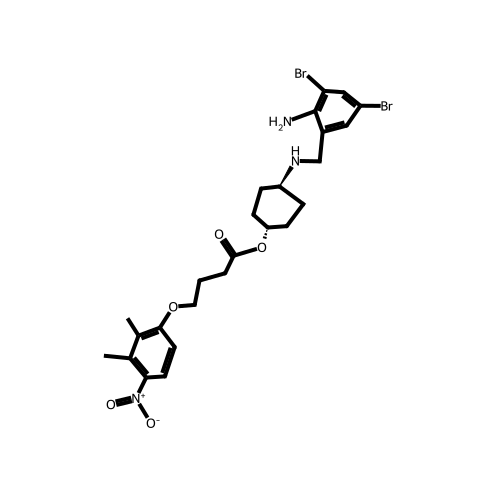 Cc1c(OCCCC(=O)O[C@H]2CC[C@H](NCc3cc(Br)cc(Br)c3N)CC2)ccc([N+](=O)[O-])c1C